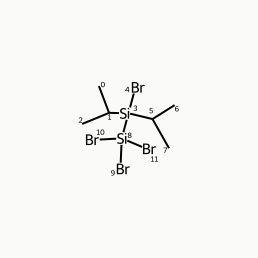 CC(C)[Si](Br)(C(C)C)[Si](Br)(Br)Br